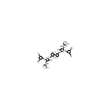 Cc1c(COc2nc(OCc3cc(C#N)cc(C#N)c3)c(CNC(C=O)CO)cc2Cl)cccc1-c1cccc(COc2nc(OCc3cc(C#N)cc(C#N)c3)c(CNC(CO)C(=O)O)cc2Cl)c1C